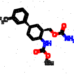 CC(C)(C)OC(=O)N[C@H]1CC[C@H](c2cccc(C(F)(F)F)c2)C[C@@H]1COC(N)=O